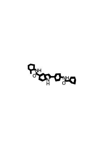 CC1CCCCC1NC(=O)c1ccc2[nH]c(-c3ccc(NC(=O)c4ccccc4)cc3)cc2c1